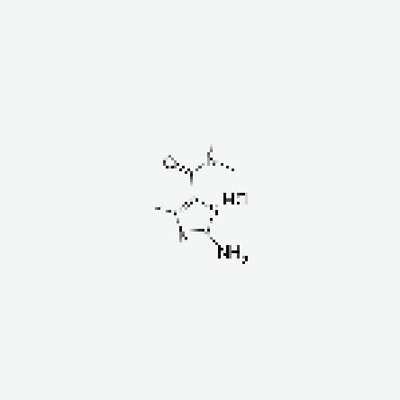 Cc1nc(N)sc1C(=O)N(C)C.Cl